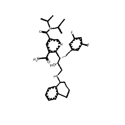 CC(C)N(C(=O)c1cnc([C@H](Cc2cc(F)cc(F)c2)[C@@H](O)CNC2CCCc3ccccc32)c(C(N)=O)c1)C(C)C